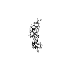 CC[C@H]1CC[C@@]2(C)C(CC[C@@H]3C2CC[C@@]2(C)C3CCC[C@@H]2C(=O)COc2ncnc3c(C)cccc23)C1